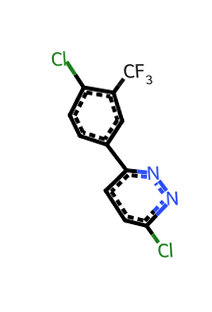 FC(F)(F)c1cc(-c2ccc(Cl)nn2)ccc1Cl